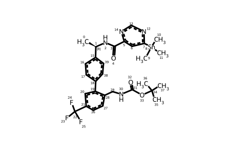 C[C@@H](NC(=O)c1c[c]([Sn]([CH3])([CH3])[CH3])ncn1)c1ccc(-c2cc(C(F)(F)F)ccc2CNC(=O)OC(C)(C)C)cc1